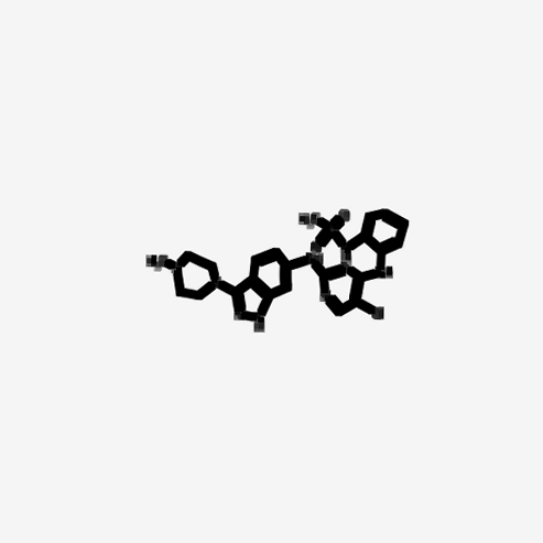 CN1CCN(c2n[nH]c3cc(Nc4ncc(Cl)c(Nc5ccccc5NS(C)(=O)=O)n4)ccc23)CC1